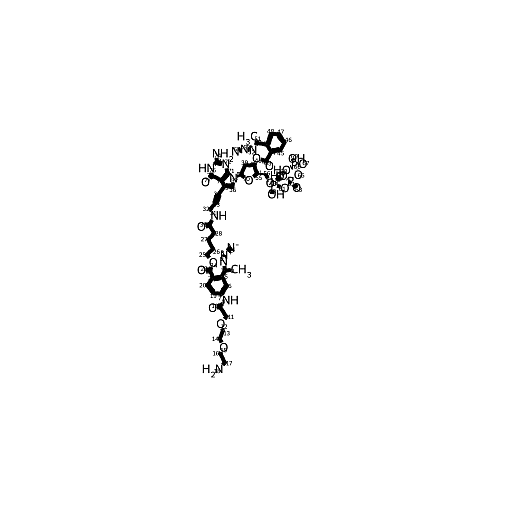 CC(N=[N+]=[N-])c1cc(NC(=O)COCCOCCN)ccc1C(=O)OCCCCC(=O)NCC#Cc1cn([C@H]2CC(OC(=O)c3ccccc3C(C)N=[N+]=[N-])[C@@H](COP(=O)(O)OP(=O)(O)OP(=O)(O)O)O2)c2nc(N)[nH]c(=O)c12